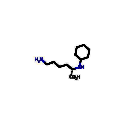 NCCCC[C@H](NC1CCCCC1)C(=O)O